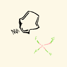 F[B-](F)(F)F.[Na+].c1ccccc1